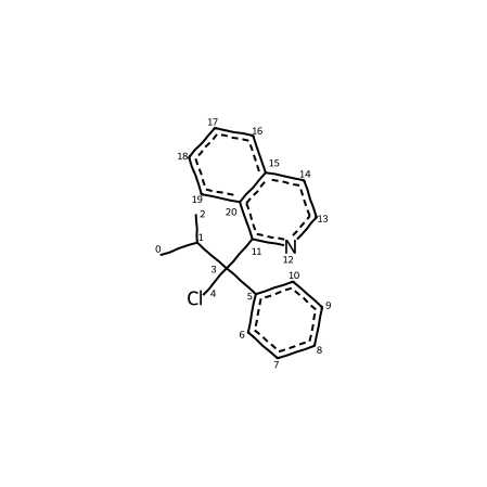 CC(C)C(Cl)(c1ccccc1)c1nccc2ccccc12